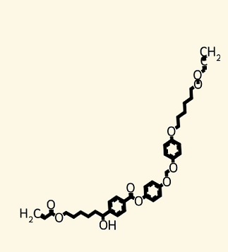 C=C=COOCCCCCCOc1ccc(OCOc2ccc(OC(=O)c3ccc(C(O)CCCCCOC(=O)C=C)cc3)cc2)cc1